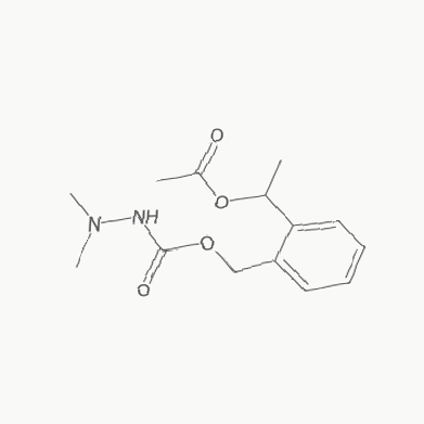 CC(=O)OC(C)c1ccccc1COC(=O)NN(C)C